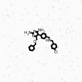 Nc1nc(N)c(-c2ccc(CNCc3ccc(Cl)cc3)cc2)c(COCc2ccccc2)n1